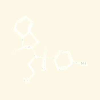 Nc1ccc(S(=O)(=O)N(CCC(F)(F)F)c2sc3ccccc3c2Cl)cc1